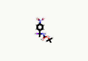 CC(C)(C)OC(=O)NC(C)(I)c1ccc([N+](=O)[O-])cc1